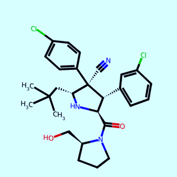 CC(C)(C)C[C@H]1N[C@H](C(=O)N2CCC[C@H]2CO)[C@@H](c2cccc(Cl)c2)[C@]1(C#N)c1ccc(Cl)cc1